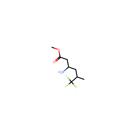 COC(=O)CC(N)CC(C)C(F)(F)F